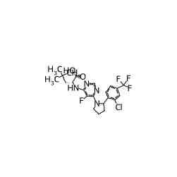 CC(C)(C)C[C@@H](Nc1ncnc(N2CCCC2c2ccc(C(F)(F)F)cc2Cl)c1F)C(=O)O